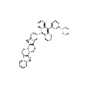 c1ccc(-c2cccc(-c3c4ccccc4c(-c4ccc5sc6c(ccc7c6ccc6c8ccccc8sc67)c5c4)c4ccccc34)c2)cc1